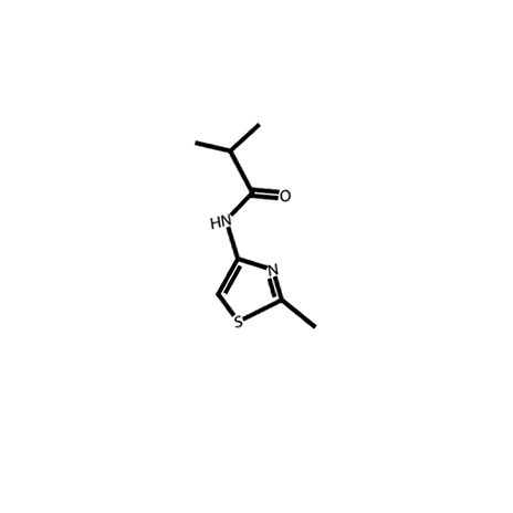 Cc1nc(NC(=O)C(C)C)cs1